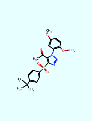 COc1ccc(OC)c(-n2nnc(S(=O)(=O)c3ccc(C(C)(C)C)cc3)c2C(C)=O)c1